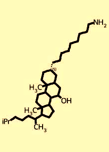 CC(C)CCCC(C)C1CCC2C3C(O)CC4C[C@@H](CCCCCCCCCN)CCC4(C)C3CCC12C